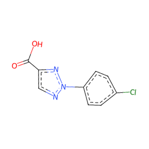 O=C(O)c1cnn(-c2ccc(Cl)cc2)n1